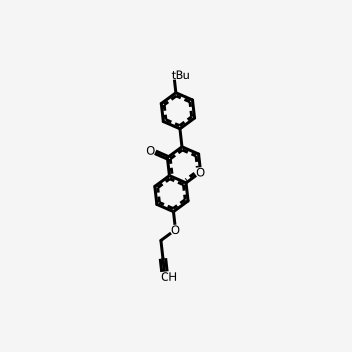 C#CCOc1ccc2c(=O)c(-c3ccc(C(C)(C)C)cc3)coc2c1